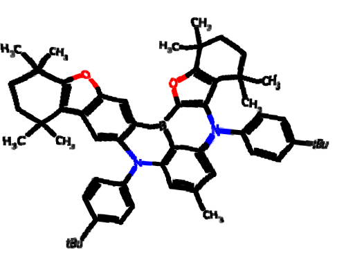 Cc1cc2c3c(c1)N(c1ccc(C(C)(C)C)cc1)c1c(oc4c1C(C)(C)CCC4(C)C)B3c1cc3oc4c(c3cc1N2c1ccc(C(C)(C)C)cc1)C(C)(C)CCC4(C)C